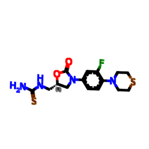 NC(=S)NC[C@H]1CN(c2ccc(N3CCSCC3)c(F)c2)C(=O)O1